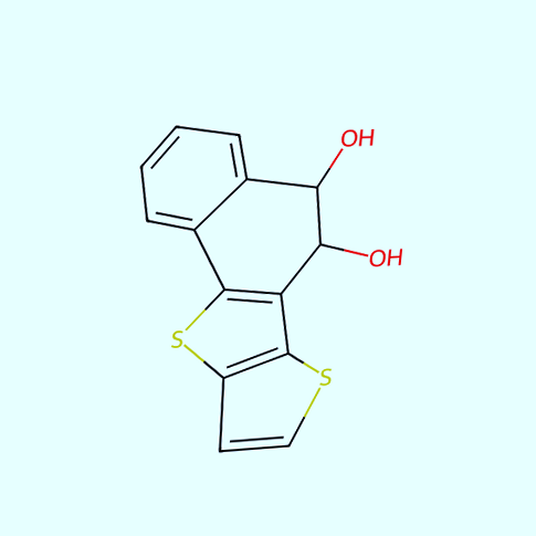 OC1c2ccccc2-c2sc3ccsc3c2C1O